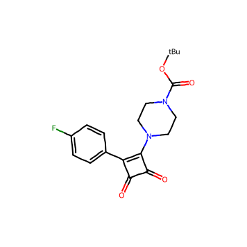 CC(C)(C)OC(=O)N1CCN(c2c(-c3ccc(F)cc3)c(=O)c2=O)CC1